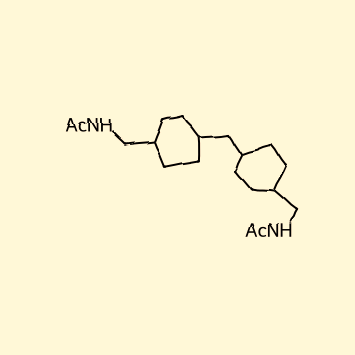 CC(=O)NCC1CCC(CC2CCC(CNC(C)=O)CC2)CC1